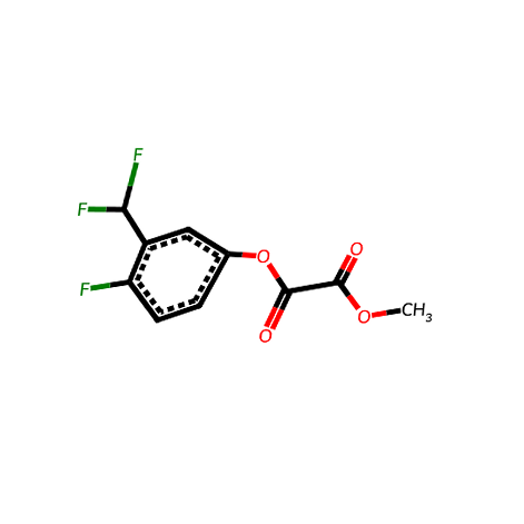 COC(=O)C(=O)Oc1ccc(F)c(C(F)F)c1